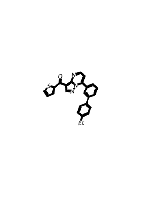 CCc1ccc(-c2cccc(-c3ccnc4c(C(=O)c5cccs5)cnn34)c2)cc1